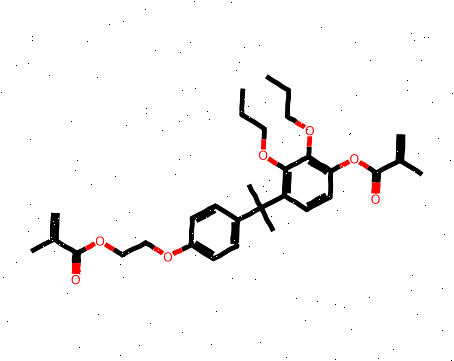 C=C(C)C(=O)OCCOc1ccc(C(C)(C)c2ccc(OC(=O)C(=C)C)c(OCCC)c2OCCC)cc1